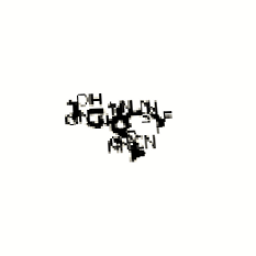 CC(O)C(=O)N1CCN(c2cc(S(=O)(=O)NC3(C#N)CC3)cc3c(-c4nnc(C(F)F)s4)nn(C)c23)CC1